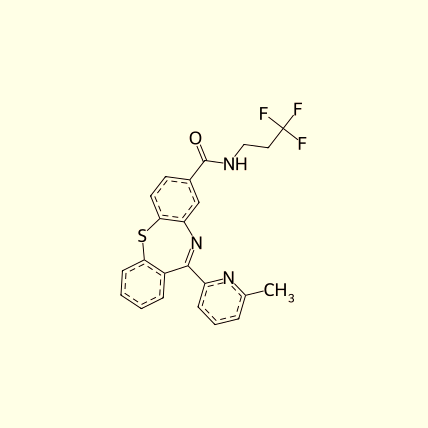 Cc1cccc(C2=Nc3cc(C(=O)NCCC(F)(F)F)ccc3Sc3ccccc32)n1